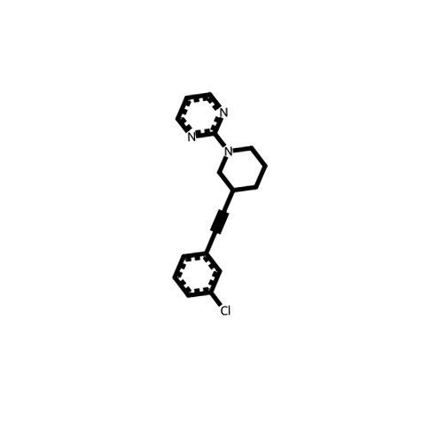 Clc1cccc(C#CC2CCCN(c3ncccn3)C2)c1